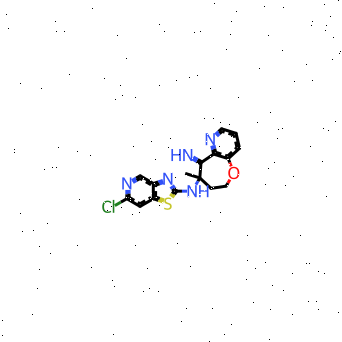 CC1(Nc2nc3cnc(Cl)cc3s2)CCOc2cccnc2C1=N